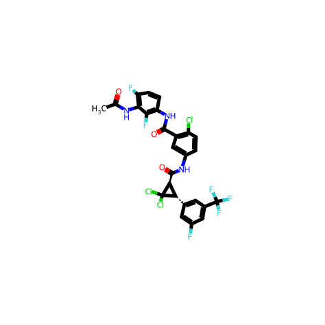 CC(=O)Nc1c(F)ccc(NC(=O)c2cc(NC(=O)[C@H]3[C@H](c4cc(F)cc(C(F)(F)F)c4)C3(Cl)Cl)ccc2Cl)c1F